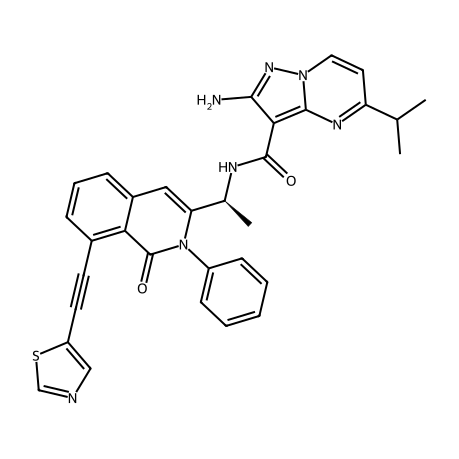 CC(C)c1ccn2nc(N)c(C(=O)N[C@@H](C)c3cc4cccc(C#Cc5cncs5)c4c(=O)n3-c3ccccc3)c2n1